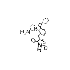 N[C@@H]1CCCN(c2c(/C=C3\SC(=O)NC3=O)cccc2OC2CCCC2)C1